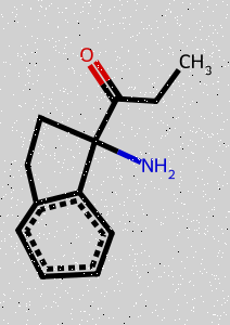 CCC(=O)C1(N)CCc2ccccc21